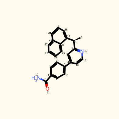 C[C@@H](c1cc(-c2ccc(C(N)=O)cc2)ccn1)c1cccc2ccccc12